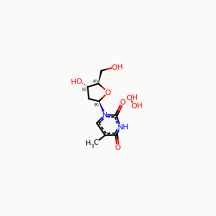 Cc1cn([C@H]2C[C@H](O)[C@@H](CO)O2)c(=O)[nH]c1=O.OO